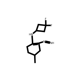 CC1CCC(NC2CC(F)(F)C2)=C(N=N)C1